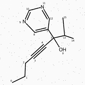 CCCC#CC(O)(c1cncnc1)C(C)C